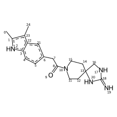 Cc1[nH]c2ccc(CC(=O)N3CCC4(CC3)CNC(=N)N4)cc2c1C